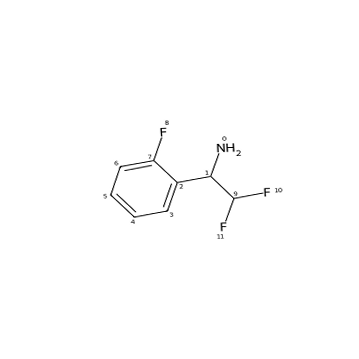 NC(c1ccccc1F)C(F)F